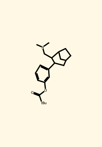 CN(C)CC1C2CCC(C2)CC1c1cccc(OC(=O)C(C)(C)C)c1